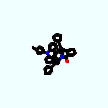 Cc1ccc(N2c3ccccc3C3(c4ccccc42)c2cc(-c4ccccc4)ccc2-n2c(=O)c4ccccc4c4cc(-c5ccccc5)cc3c42)cc1